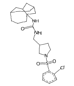 O=C(NCC1CCN(S(=O)(=O)c2ccccc2Cl)C1)NC12CCCC3CC(CC1C3)C2